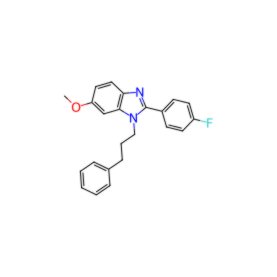 COc1ccc2nc(-c3ccc(F)cc3)n(CCCc3ccccc3)c2c1